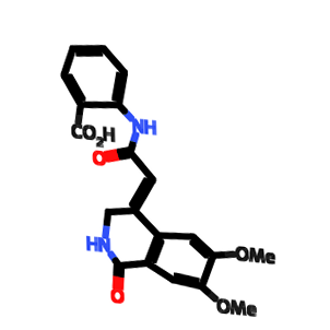 COc1cc2c(cc1OC)C(=CC(=O)Nc1ccccc1C(=O)O)CNC2=O